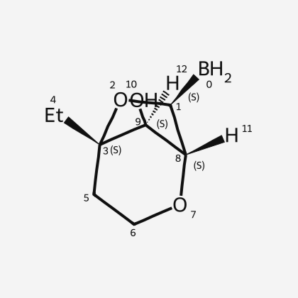 B[C@@H]1O[C@@]2(CC)CCO[C@@H]1[C@@H]2O